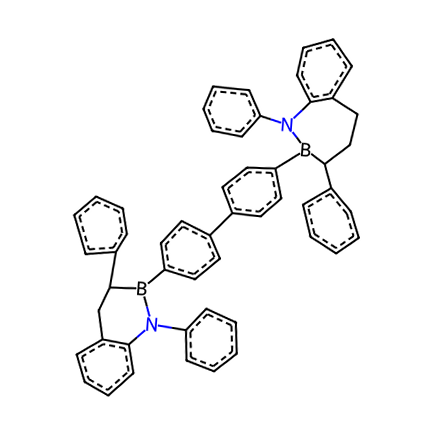 c1ccc(C2CCc3ccccc3N(c3ccccc3)B2c2ccc(-c3ccc(B4C(c5ccccc5)Cc5ccccc5N4c4ccccc4)cc3)cc2)cc1